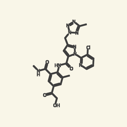 CNC(=O)c1cc(C(=O)CO)cc(C)c1NC(=O)c1cc(Cn2nnc(C)n2)nn1-c1ncccc1Cl